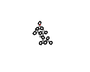 c1ccc(-n2c3ccccc3c3c2ccc2c4ccccc4n(-c4ccc5c(c4)Oc4cc(-n6c7ccccc7c7ccc8c(c9ccccc9n8-c8ccccc8)c76)cc6c4B5c4ccccc4O6)c23)cc1